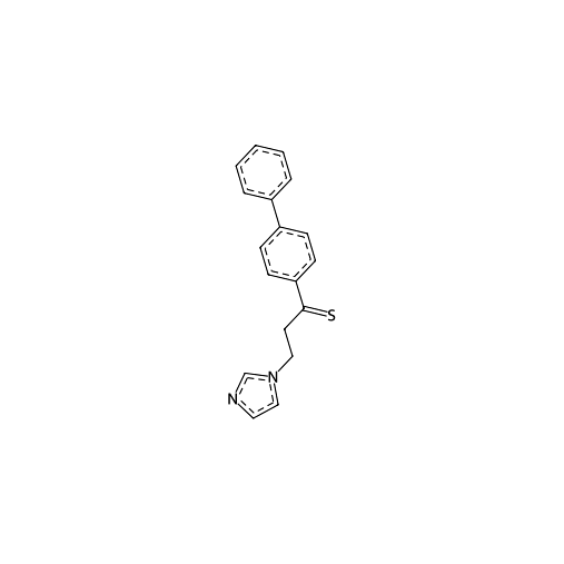 S=C(CCn1ccnc1)c1ccc(-c2ccccc2)cc1